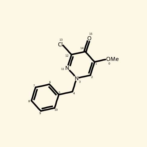 COc1cn(Cc2ccccc2)nc(Cl)c1=O